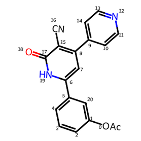 CC(=O)Oc1cccc(-c2cc(-c3ccncc3)c(C#N)c(=O)[nH]2)c1